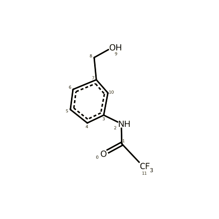 O=C(Nc1cccc(CO)c1)C(F)(F)F